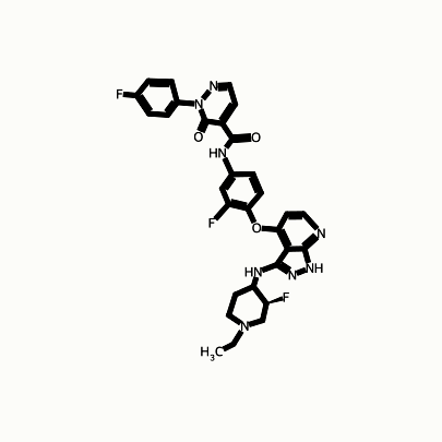 CCN1CCC(Nc2n[nH]c3nccc(Oc4ccc(NC(=O)c5ccnn(-c6ccc(F)cc6)c5=O)cc4F)c23)[C@@H](F)C1